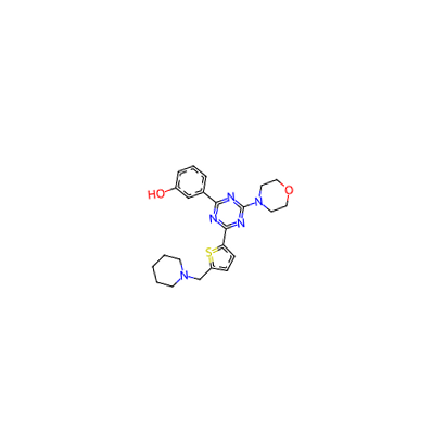 Oc1cccc(-c2nc(-c3ccc(CN4CCCCC4)s3)nc(N3CCOCC3)n2)c1